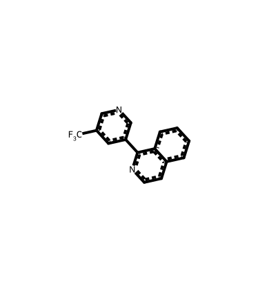 FC(F)(F)c1cncc(-c2nccc3ccccc23)c1